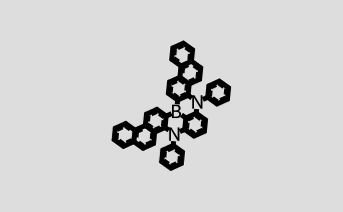 c1ccc(N2c3cccc4c3B(c3ccc5c(ccc6ccccc65)c32)c2ccc3c(ccc5ccccc53)c2N4c2ccccc2)cc1